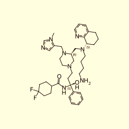 Cn1cncc1CN1CCN(CC[C@@](O)(NC(=O)C2CCC(F)(F)CC2)c2ccccc2)C[C@@H]1CN(CCCCN)[C@H]1CCCc2cccnc21